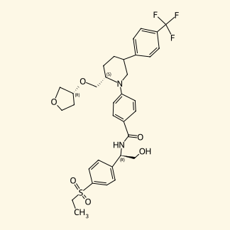 CCS(=O)(=O)c1ccc([C@H](CO)NC(=O)c2ccc(N3CC(c4ccc(C(F)(F)F)cc4)CC[C@H]3CO[C@@H]3CCOC3)cc2)cc1